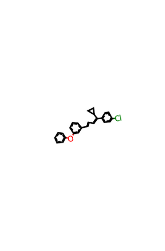 Clc1ccc(C(=CC=Cc2cccc(Oc3ccccc3)c2)C2CC2)cc1